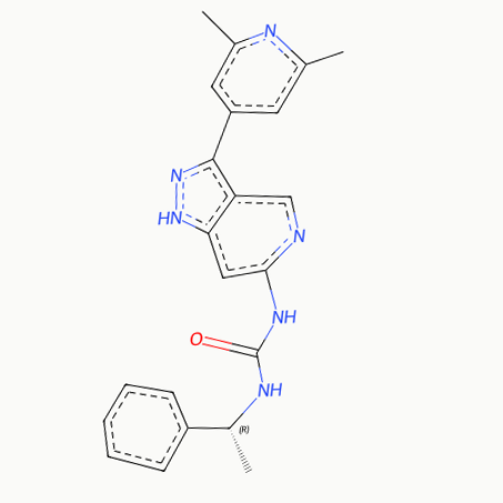 Cc1cc(-c2n[nH]c3cc(NC(=O)N[C@H](C)c4ccccc4)ncc23)cc(C)n1